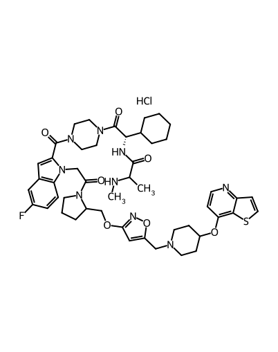 CNC(C)C(=O)N[C@H](C(=O)N1CCN(C(=O)c2cc3cc(F)ccc3n2CC(=O)N2CCCC2COc2cc(CN3CCC(Oc4ccnc5ccsc45)CC3)on2)CC1)C1CCCCC1.Cl